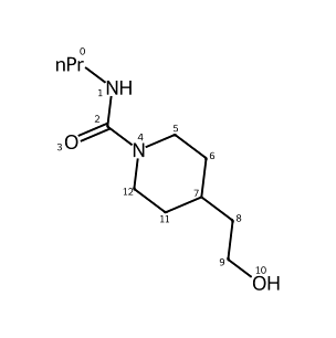 CCCNC(=O)N1CCC(CCO)CC1